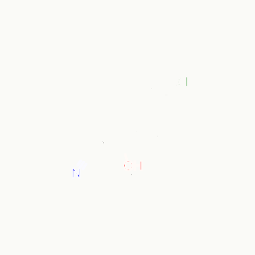 N#CCC(O)c1ccc(Cl)cc1